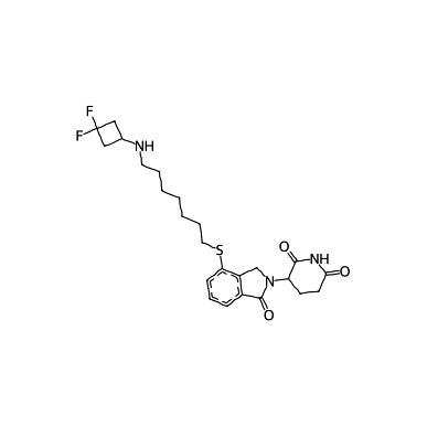 O=C1CCC(N2Cc3c(SCCCCCCCNC4CC(F)(F)C4)cccc3C2=O)C(=O)N1